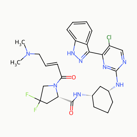 CN(C)C/C=C/C(=O)N1CC(F)(F)C[C@H]1C(=O)N[C@H]1CCC[C@@H](Nc2ncc(Cl)c(-c3n[nH]c4ccccc34)n2)C1